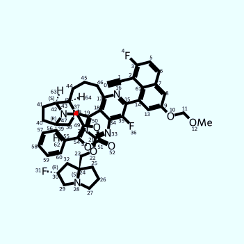 C#Cc1c(F)ccc2cc(OCOC)cc(-c3nc4c5c(nc(OC[C@@]67CCCN6C[C@H](F)C7)nc5c3F)N3C[C@H]5CC[C@@H]([C@H]3CCC4)N5Cc3oc(=O)oc3-c3ccccc3)c12